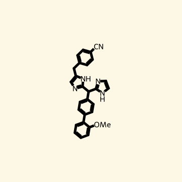 COc1ccccc1-c1ccc(C(c2ncc[nH]2)c2ncc(Cc3ccc(C#N)cc3)[nH]2)cc1